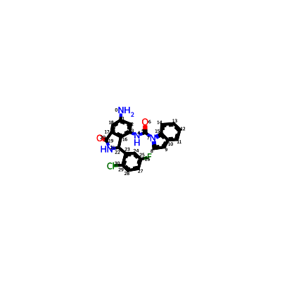 Nc1cc(NC(=O)n2ccc3ccccc32)c2c(c1)C(=O)NC2c1cc(F)ccc1Cl